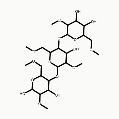 COCC1OC(OC2C(COC)OC(OC3C(COC)OC(O)C(OC)C3O)C(OC)C2O)C(OC)C(O)C1O